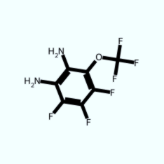 Nc1c(N)c(OC(F)(F)F)c(F)c(F)c1F